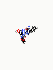 COc1ccc(C2(NC(=O)c3cc4c(=O)[nH]c(-c5ccc6ccccc6c5)cn4n3)CN(C(=O)OC(C)(C)C)C2)cn1